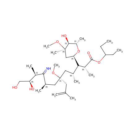 C=C(C)C[C@@](C[C@@H](C)C(=N)[C@H](C)[C@@H](O)CO)(C[C@@H](C)C([C@H]1C[C@@](C)(OC)[C@@H](O)[C@H](C)O1)[C@@H](C)C(=O)OC(CC)CC)OC